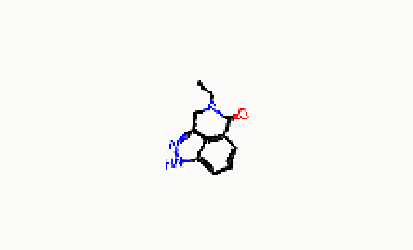 CCN1Cc2n[nH]c3cccc(c23)C1=O